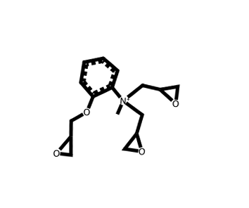 C[N+](CC1CO1)(CC1CO1)c1ccccc1OCC1CO1